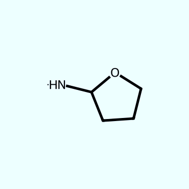 [NH]C1CCCO1